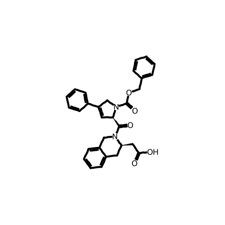 O=C(O)C[C@H]1Cc2ccccc2CN1C(=O)[C@H]1C=C(c2ccccc2)CN1C(=O)OCc1ccccc1